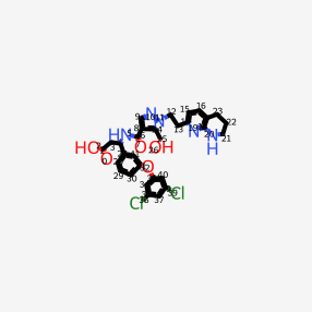 O=C(O)CC(NC(=O)c1cnn(CCc2ccc3c(n2)NCCC3)c1CO)c1cccc(Oc2cc(Cl)cc(Cl)c2)c1